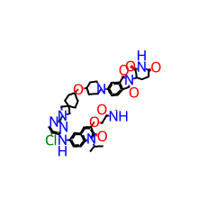 CNC(=O)COc1cc2cc(Nc3nc(N4CC5(CCC(OC6CCN(c7ccc8c(c7)C(=O)N(C7CCC(=O)NC7=O)C8=O)CC6)CC5)C4)ncc3Cl)ccc2n(C(C)C)c1=O